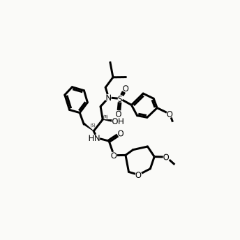 COc1ccc(S(=O)(=O)N(CC(C)C)C[C@@H](O)[C@H](Cc2ccccc2)NC(=O)OC2CCC(OC)COC2)cc1